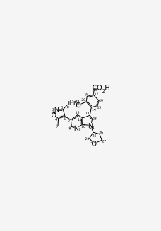 Cc1noc(C)c1-c1cnc2c(c1)c(-c1ccc(C(=O)O)cc1OC(C)C)cn2[C@H]1CCOC1